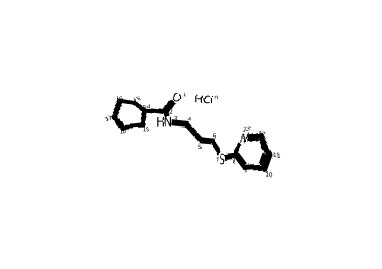 Cl.O=C(NCCCSc1ccccn1)C1CCCCC1